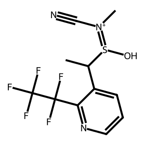 CC(c1cccnc1C(F)(F)C(F)(F)F)S(O)=[N+](C)C#N